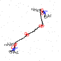 CCCCCCC(CC=CCCCCCCCC(=O)OCCCCCCCCCCOC(=O)CCCCCCCC=CCC(CCCCCC)OC(=O)C[N+](C)(C)CCOC(C)=O)OC(=O)C[N+](C)(C)CCOC(C)=O